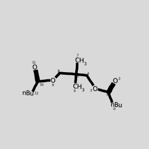 CCCCC(=O)OCC(C)(C)COC(=O)CCCC